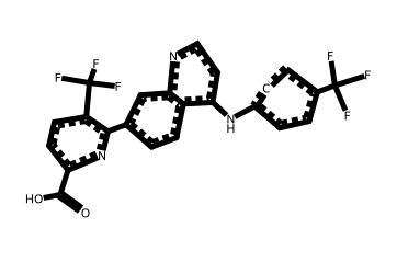 O=C(O)c1ccc(C(F)(F)F)c(-c2ccc3c(Nc4ccc(C(F)(F)F)cc4)ccnc3c2)n1